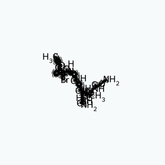 CC(C)[C@H](NCCNC(=O)CCOCCN)C(=O)N[C@@H](CCCNC(N)=O)C(=O)Nc1ccc(C(=O)Nc2ccc3[nH]c(C(=O)N4C[C@@H](CBr)c5c4cc(OC(=O)N4CCN(C)CC4)c4ccccc54)cc3c2)cc1